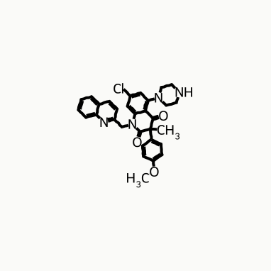 COc1ccc(C2(C)C(=O)c3c(N4CCNCC4)cc(Cl)cc3N(Cc3ccc4ccccc4n3)C2=O)cc1